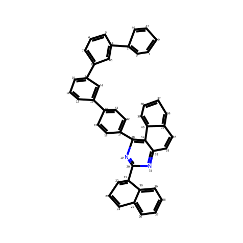 c1ccc(-c2cccc(-c3cccc(-c4ccc(-c5nc(-c6cccc7ccccc67)nc6ccc7ccccc7c56)cc4)c3)c2)cc1